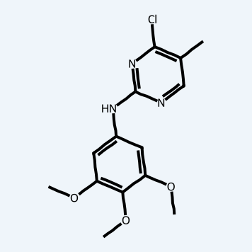 COc1cc(Nc2ncc(C)c(Cl)n2)cc(OC)c1OC